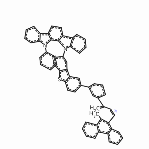 C=C(/C=C\c1c(C)c2ccccc2c2ccccc12)c1cccc(-c2ccc3sc4cnc(-n5c6ccccc6c6ccc7c8ccccc8n(-c8ccccc8)c7c65)cc4c3c2)c1